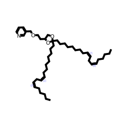 CCCCC/C=C\C/C=C\CCCCCCCCC1(CCCCCCCC/C=C\C/C=C\CCCCC)OCC(CCOCc2cccnc2)O1